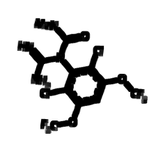 CNC(=O)N(C(=N)N)c1c(Cl)c(OC(F)(F)F)cc(OC(F)(F)F)c1Cl